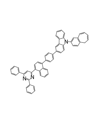 C1=CCc2ccc(-n3c4ccccc4c4cc(-c5ccc(-c6ccc(-c7cc(-c8ccccc8)nc(-c8ccccc8)n7)c7ccccc67)cc5)ccc43)cc2C=C1